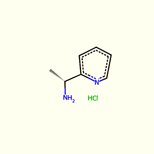 C[C@@H](N)c1ccccn1.Cl